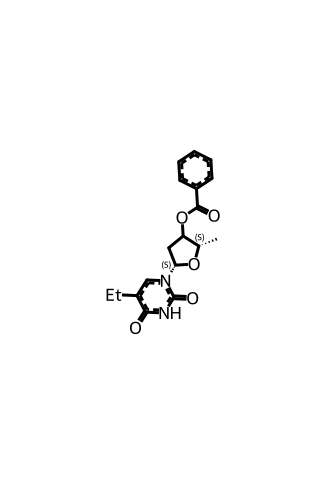 CCc1cn([C@@H]2CC(OC(=O)c3ccccc3)[C@H](C)O2)c(=O)[nH]c1=O